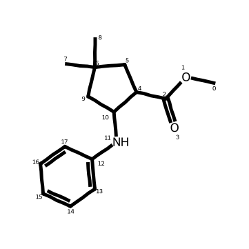 COC(=O)C1CC(C)(C)CC1Nc1ccccc1